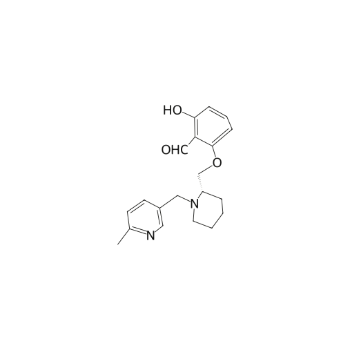 Cc1ccc(CN2CCCC[C@H]2COc2cccc(O)c2C=O)cn1